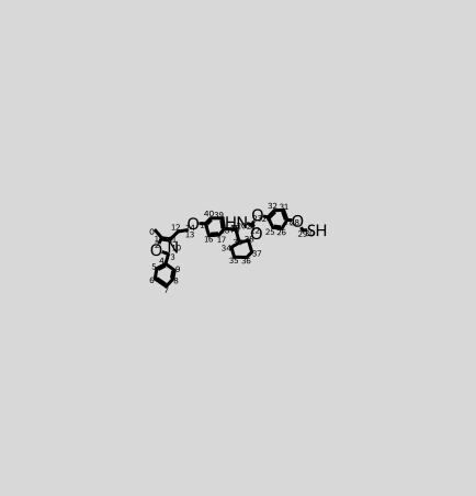 Cc1oc(-c2ccccc2)nc1CCOc1ccc([C@H](NC(=O)Oc2ccc(OCS)cc2)C2CCCCC2)cc1